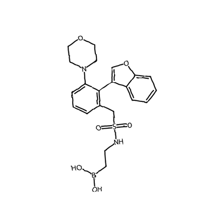 O=S(=O)(Cc1cccc(N2CCOCC2)c1-c1coc2ccccc12)NCCB(O)O